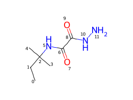 CCC(C)(C)NC(=O)C(=O)NN